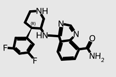 NC(=O)c1cccc2c(NC3CNCC[C@@H]3c3cc(F)cc(F)c3)ncnc12